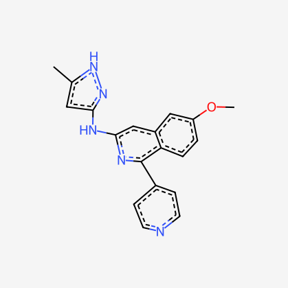 COc1ccc2c(-c3ccncc3)nc(Nc3cc(C)[nH]n3)cc2c1